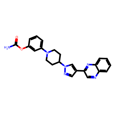 NC(=O)Oc1cccc(N2CCC(n3cc(-c4cnc5ccccc5n4)cn3)CC2)c1